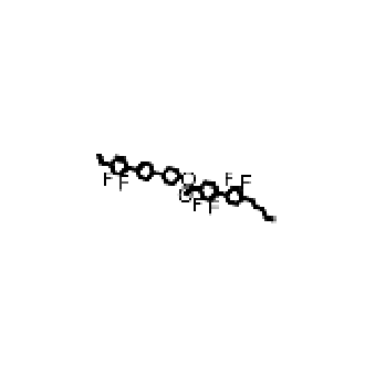 CCCCCc1ccc(-c2ccc(C(=O)OC3CCC(C4CC=C(c5ccc(CC)c(F)c5F)CC4)CC3)c(F)c2F)c(F)c1F